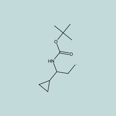 [CH2]CC(NC(=O)OC(C)(C)C)C1CC1